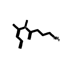 C=C/C=C(/C)N(C)C(=C)CCCN